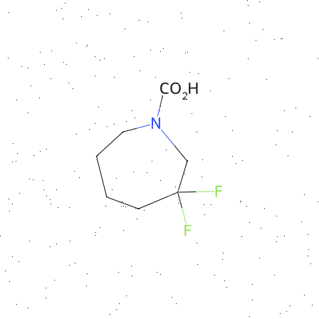 O=C(O)N1CCCCC(F)(F)C1